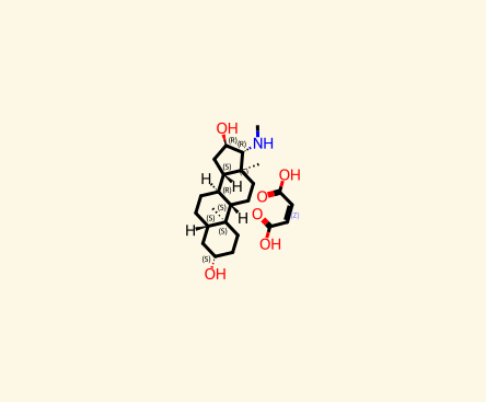 CN[C@H]1[C@H](O)C[C@H]2[C@@H]3CC[C@H]4C[C@@H](O)CC[C@]4(C)[C@H]3CC[C@@]21C.O=C(O)/C=C\C(=O)O